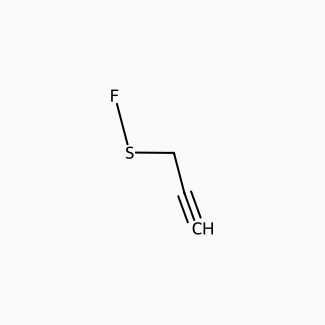 C#CCSF